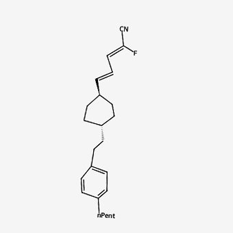 CCCCCc1ccc(CC[C@H]2CC[C@H](/C=C/C=C(\F)C#N)CC2)cc1